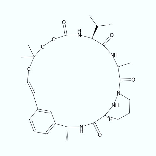 CC1NC(=O)[C@H](C(C)C)NC(=O)CCC(C)(C)C/C=C/c2cccc(c2)[C@@H](C)NC(=O)[C@@H]2CCCN(N2)C1=O